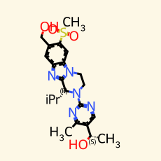 Cc1nc(N2CCn3c(nc4cc(CO)c(S(C)(=O)=O)cc43)[C@H]2C(C)C)ncc1[C@H](C)O